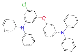 Clc1cc(Oc2cccc(N(c3ccccc3)c3ccccc3)c2)cc(N(c2ccccc2)c2ccccc2)c1